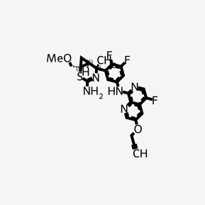 C#CCOc1cnc2c(Nc3cc(F)c(F)c([C@]4(C)N=C(N)S[C@@]5(COC)C[C@H]54)c3)ncc(F)c2c1